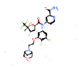 C[C@H]1[C@@H](c2ccc(F)c(F)c2OCCN2C3COCC2C3)[C@H](C(=O)Nc2ccnc(C(N)=O)c2)O[C@@]1(C)C(F)(F)F